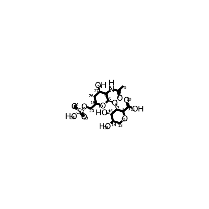 CC(=O)NC1[C@@H](O[C@@H]2C(C(=O)O)OCC(O)[C@@H]2O)OC(COS(=O)(=O)O)C[C@H]1O